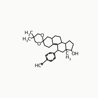 C#Cc1ccc(C2CC3(C)C(O)CCC3C3CCC4CC5(CCC4=C23)OCC(C)(C)CO5)cc1